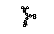 c1ccc(-n2c3ccccc3c3ccc(-c4ccc(N(c5ccc(-c6ccc7c(c6)sc6ccccc67)cc5)c5ccc(-c6cccc7ccccc67)cc5)cc4)cc32)cc1